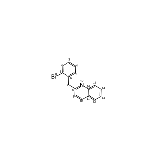 Brc1ccccc1Cc1ccc2ccccc2n1